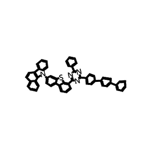 c1ccc(-c2ccc(-c3ccc(-c4nc(-c5ccccc5)nc(-c5cccc6c5sc5cc(-n7c8ccccc8c8ccc9ccccc9c87)ccc56)n4)cc3)cc2)cc1